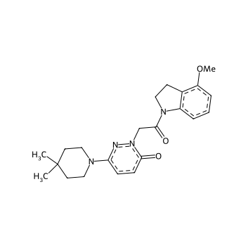 COc1cccc2c1CCN2C(=O)Cn1nc(N2CCC(C)(C)CC2)ccc1=O